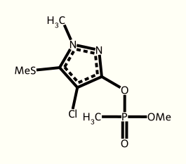 COP(C)(=O)Oc1nn(C)c(SC)c1Cl